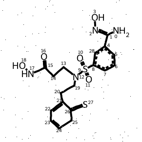 NC(=NO)c1cccc(S(=O)(=O)N(CCC(=O)NO)CCC2=CC=CCC2=S)c1